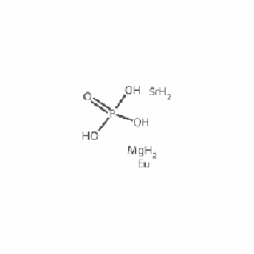 O=P(O)(O)O.[Eu].[MgH2].[SrH2]